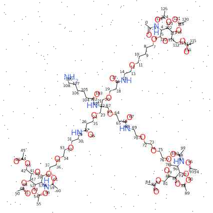 CC(=O)NC1C(OCCCCCOCCNC(=O)CCOCC(COCCC(=O)NCCOCCOCCOC2OC(COC(C)=O)C(OC(C)=O)C(OC(C)=O)C2NC(C)=O)(COCCC(=O)NCCOCCOCCOC2OC(COC(C)=O)C(OC(C)=O)C(OC(C)=O)C2NC(C)=O)NC(=O)CCCCCN)OC(COC(C)=O)C(OC(C)=O)C1OC(C)=O